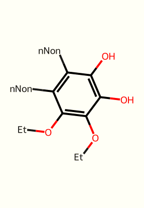 CCCCCCCCCc1c(O)c(O)c(OCC)c(OCC)c1CCCCCCCCC